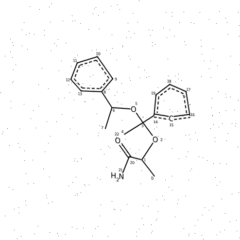 CC(OC(C)(OC(C)c1ccccc1)c1ccccc1)C(N)=O